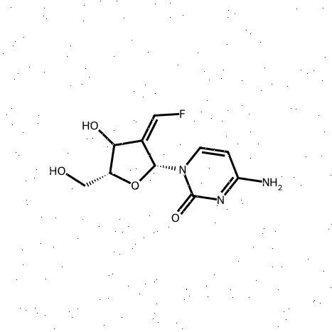 Nc1ccn([C@@H]2O[C@H](CO)C(O)/C2=C/F)c(=O)n1